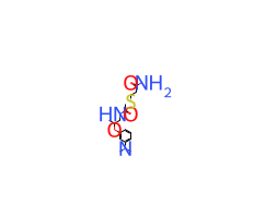 CC(CNC(=O)CSCCC(N)=O)Oc1cccc(N(C)C)c1